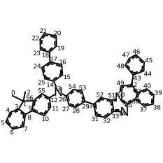 CC1(C)c2ccccc2-c2ccc(N(c3ccc(-c4ccccc4)cc3)c3ccc(-c4ccc5nc6c7ccccc7c(-c7ccccc7)cn6c5c4)cc3)cc21